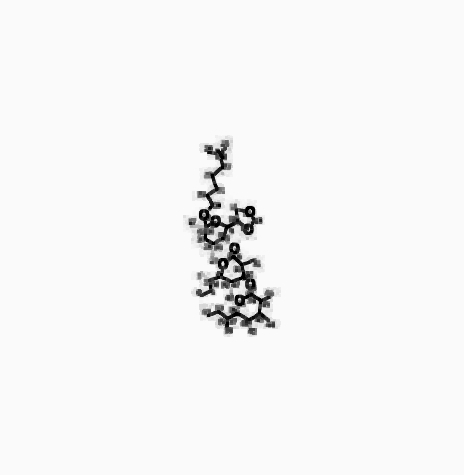 CC[C@H](C)C1O[C@H](O[C@H]2C([C@H]3COCO3)O[C@](C)(OCCCCCN(C)C)C[C@H]2C)C(C)[C@@H](O[C@H]2O[C@@H]([C@@H](C)CC)[C@@H](C)C(C)C2C)[C@@H]1C